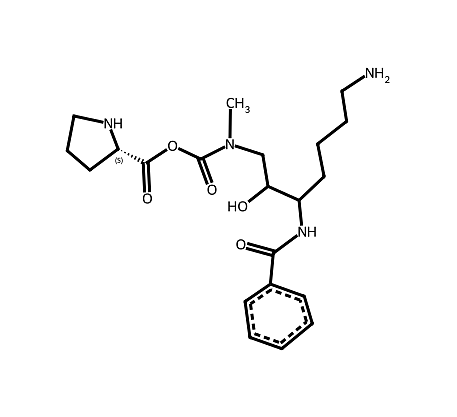 CN(CC(O)C(CCCCN)NC(=O)c1ccccc1)C(=O)OC(=O)[C@@H]1CCCN1